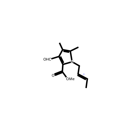 C/C=C/Cn1c(C)c(C)c(C=O)c1C(=O)OC